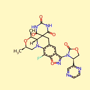 C[C@@H]1CN2c3c(cc4c(N5C(=O)OC[C@H]5c5cnccn5)noc4c3F)CC3(C(=O)NC(=O)NC3=O)[C@H]2[C@H](C)O1